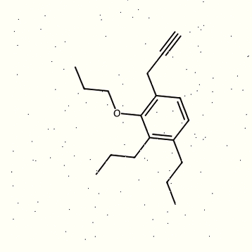 C#CCc1ccc(CCC)c(CCC)c1OCCC